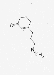 C=NCCCC1=CC(=O)CCC1